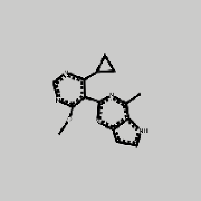 COc1ncnc(C2CC2)c1-c1nc(C)c2[nH]ccc2n1